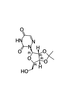 CC1(C)O[C@@H]2[C@H](O1)[C@@H](CO)O[C@H]2n1ncc(=O)[nH]c1=O